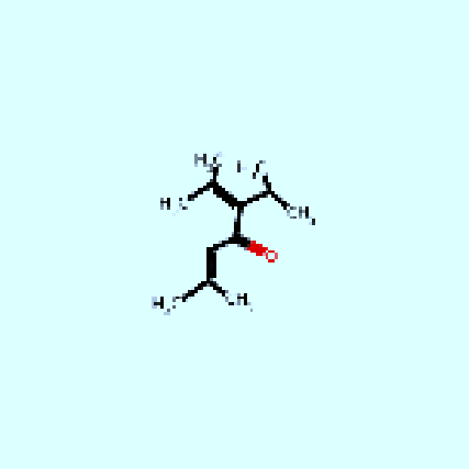 CC(C)=CC(=O)C(=C(C)C)C(C)C